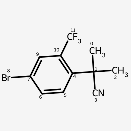 CC(C)(C#N)c1ccc(Br)cc1C(F)(F)F